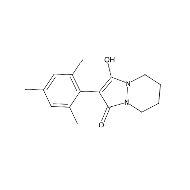 Cc1cc(C)c(-c2c(O)n3n(c2=O)CCCC3)c(C)c1